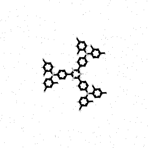 Cc1ccc(N(c2ccc(-c3nc(-c4ccc(N(c5ccc(C)cc5C)c5ccc(C)cc5C)cc4)nc(-c4ccc(N(c5ccc(C)cc5C)c5ccc(C)cc5C)cc4)n3)cc2)c2ccc(C)cc2C)c(C)c1